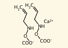 C=CCNOC(=O)[O-].C=CCNOC(=O)[O-].[Ca+2]